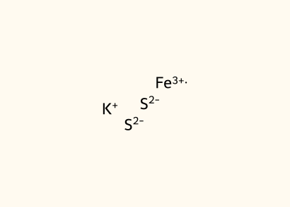 [Fe+3].[K+].[S-2].[S-2]